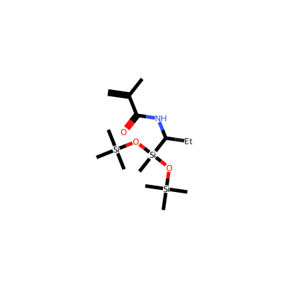 C=C(C)C(=O)NC(CC)[Si](C)(O[Si](C)(C)C)O[Si](C)(C)C